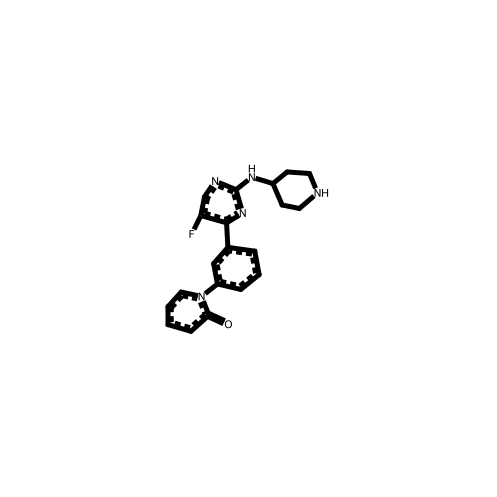 O=c1ccccn1-c1cccc(-c2nc(NC3CCNCC3)ncc2F)c1